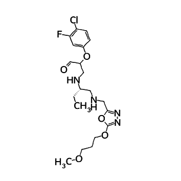 CC[C@@H](CNCc1nnc(OCCCOC)o1)NCC(C=O)Oc1ccc(Cl)c(F)c1